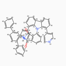 O=C1c2cccc(-n3c4c(-c5ccncc5)cccc4c4cccc(-c5ccncc5)c43)c2C(=O)N1c1cc(-c2ccccc2)ccc1-c1ccccc1